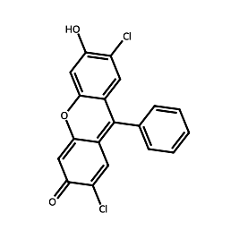 O=c1cc2oc3cc(O)c(Cl)cc3c(-c3ccccc3)c-2cc1Cl